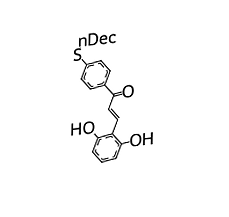 CCCCCCCCCCSc1ccc(C(=O)C=Cc2c(O)cccc2O)cc1